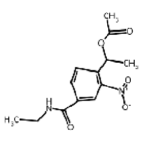 CCNC(=O)c1ccc(C(C)OC(C)=O)c([N+](=O)[O-])c1